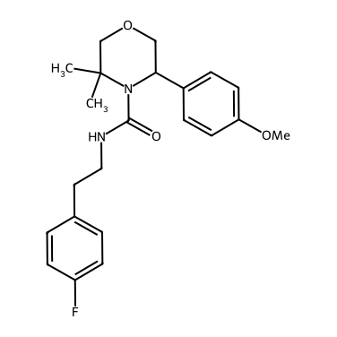 COc1ccc(C2COCC(C)(C)N2C(=O)NCCc2ccc(F)cc2)cc1